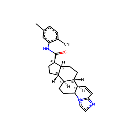 Cc1ccc(C#N)c(NC(=O)[C@@H]2CC[C@H]3[C@@H]4CCC5[C@H](C=Cc6nccn65)[C@H]4CC[C@@H]32)c1